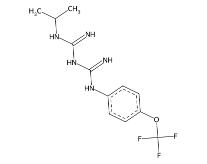 CC(C)NC(=N)NC(=N)Nc1ccc(OC(F)(F)F)cc1